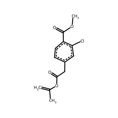 C=C(C)OC(=O)Cc1ccc(C(=O)OC)c(Cl)c1